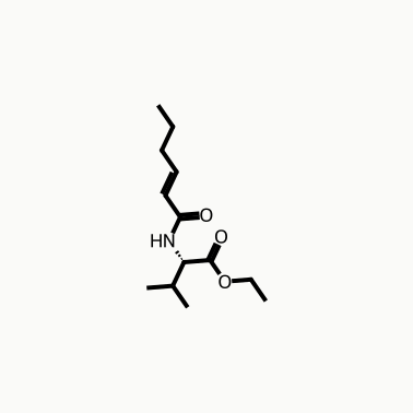 CCC/C=C/C(=O)N[C@H](C(=O)OCC)C(C)C